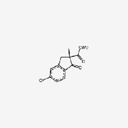 COC(=O)C1(C)Cc2cc(Cl)ccc2C1=O